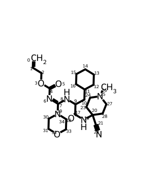 C=CCOC(=O)/N=C(\NC(CC1CCCCC1)C(=O)NC1(C#N)CCN(C)CC1)N1CCOCC1